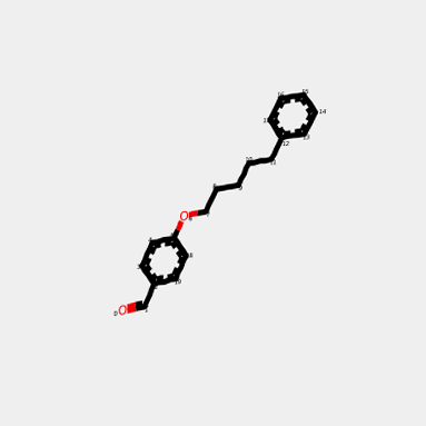 O=[C]c1ccc(OCCCCCc2ccccc2)cc1